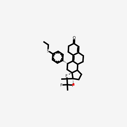 CCSc1ccc([C@H]2C[C@@]3(C)C(CC[C@@]3(C)C(C)(F)C(C)(F)F)C3CCC4=CC(=O)CCC4=C32)cc1